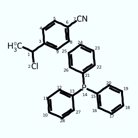 CC(Cl)c1ccc(C#N)cc1.c1ccc(P(c2ccccc2)c2ccccc2)cc1